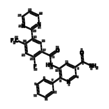 NC(=O)c1cnc(-c2ccccc2)c(NC(=O)c2cc(-c3ncccn3)c(C(F)(F)F)cc2F)c1